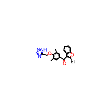 CCc1oc2ccccc2c1C(=O)c1cc(C)c(OCc2nnn[nH]2)c(C)c1